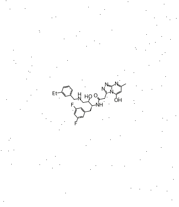 CCc1cccc(CNC[C@@H](O)[C@H](Cc2cc(F)cc(F)c2)NC(=O)Cc2nnc3nc(C)cc(O)n23)c1